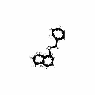 c1ccc(COc2cccc3ccsc23)cc1